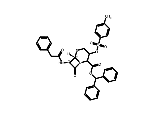 Cc1ccc(S(=O)(=O)OC2CS[C@H]3[C@H](NC(=O)Cc4ccccc4)C(=O)N3C2C(=O)OC(c2ccccc2)c2ccccc2)cc1